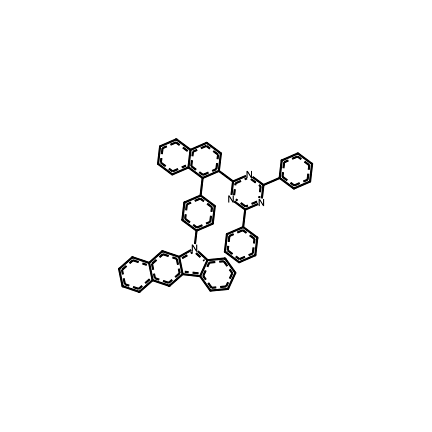 c1ccc(-c2nc(-c3ccccc3)nc(-c3ccc4ccccc4c3-c3ccc(-n4c5ccccc5c5cc6ccccc6cc54)cc3)n2)cc1